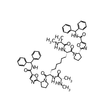 CN[C@@H](C)C(=O)N[C@@H](CCCCCC[C@H](NC(=O)[C@H](C)NC)C(=O)N1CCC[C@H]1c1ncc(C(=O)NC(c2ccccc2)c2ccccc2)o1)C(=O)N1CCC[C@H]1c1ncc(C(=O)NC(c2ccccc2)c2ccccc2)o1